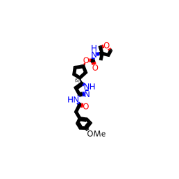 COc1ccc(CC(=O)Nc2cc([C@H]3CC[C@@H](OC(=O)NC4(C)CCOC4)C3)[nH]n2)cc1